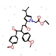 CCOC(=O)Cn1cc(C(C)C)cc1C(=O)CC(C(=O)c1ccc(OC)cc1)c1ccc(OC)cc1